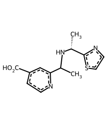 CC(N[C@H](C)c1nccs1)c1cc(C(=O)O)ccn1